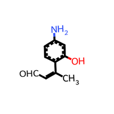 C/C(=C/C=O)c1ccc(N)cc1O